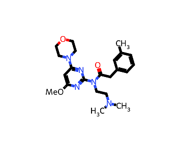 COc1cc(N2CCOCC2)nc(N(CCN(C)C)C(=O)Cc2cccc(C)c2)n1